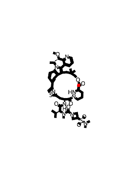 CCn1c(-c2cccnc2[C@H](C)OC)c2c3cc(ccc31)-c1csc(n1)C[C@H](NC(=O)[C@H](C(C)C)N(C)C(=O)N1CC(S(=O)(=O)N(C)C)C1)C(=O)N1CCCC(C=O)(COCC(C)(C)C2)N1